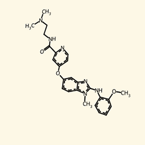 COc1ccccc1Nc1nc2cc(Oc3ccnc(C(=O)NCCN(C)C)c3)ccc2n1C